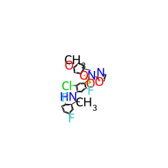 COc1ccc(CN(c2ncco2)S(=O)(=O)c2cc(Cl)c(N[C@@H](C)c3cc(F)ccc3F)cc2F)cc1